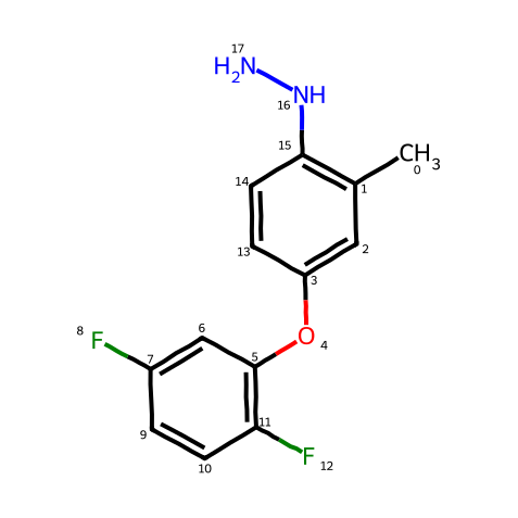 Cc1cc(Oc2cc(F)ccc2F)ccc1NN